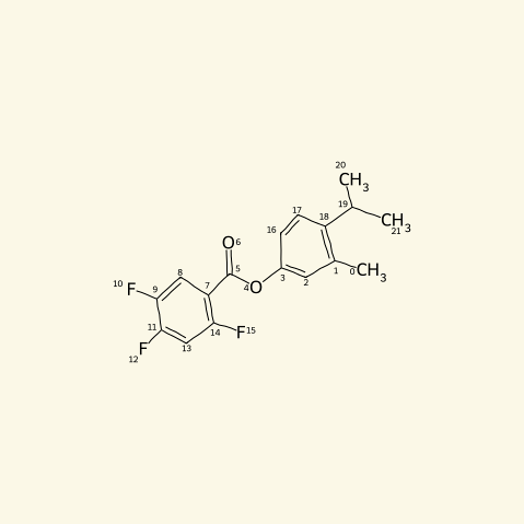 Cc1cc(OC(=O)c2cc(F)c(F)cc2F)ccc1C(C)C